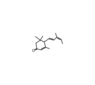 C/C=C(C)\C=C\C1C(C)=CC(=O)CC1(C)C